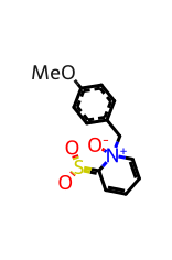 COc1ccc(C[N+]2([O-])C=CC=CC2=S(=O)=O)cc1